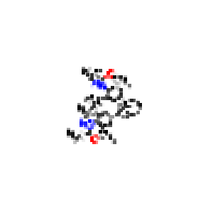 CC(=O)Nc1c(C)cc(C23CC4CC(C2)CC(c2cc(C)c(NC(C)=O)c(C)c2)(C4)C3)cc1C